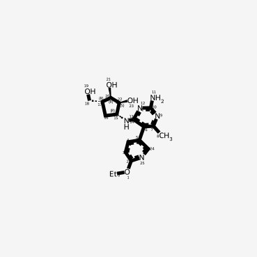 CCOc1ccc(-c2c(C)nc(N)nc2N[C@@H]2C[C@H](CO)[C@@H](O)[C@H]2O)cn1